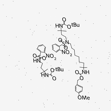 CC(C)(CCNS(=O)(=O)c1ccccc1[N+](=O)[O-])NC(=O)OC(C)(C)C.COc1ccc(COC(=O)NC(C)(C)CCCCCCCN(CCC(C)(C)NC(=O)OC(C)(C)C)S(=O)(=O)c2ccccc2[N+](=O)[O-])cc1